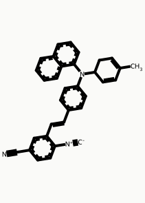 [C-]#[N+]c1ccc(C#N)cc1C=Cc1ccc(N(c2cccc3ccccc23)C2C=CC(C)=CC2)cc1